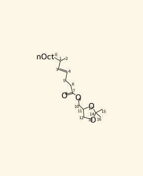 CCCCCCCCC(C)/C=C/CCC(=O)OCC1COC(C)(C)O1